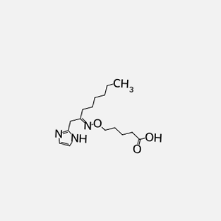 CCCCCCC(Cc1ncc[nH]1)=NOCCCCC(=O)O